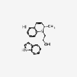 CC1C=Cc2ccccc2N1CCO.I.c1ccc2[nH]ccc2c1